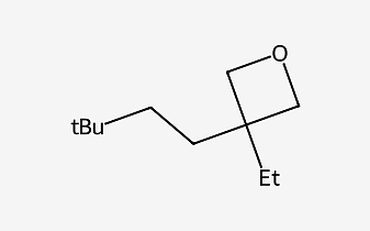 CCC1(CCC(C)(C)C)COC1